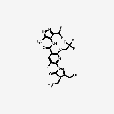 CCn1c(CO)nn(-c2nc(OCC(F)(F)F)c(C(=O)Nc3c(C(F)F)n[nH]c3C)cc2F)c1=O